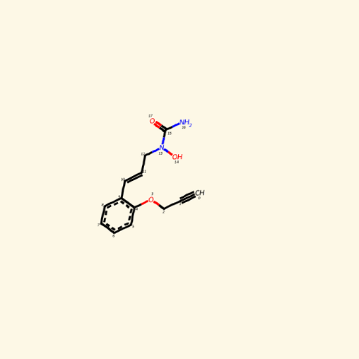 C#CCOc1ccccc1/C=C/CN(O)C(N)=O